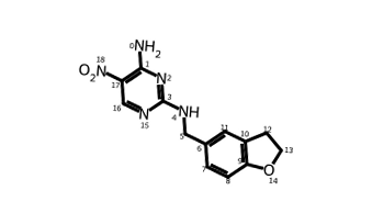 Nc1nc(NCc2ccc3c(c2)CCO3)ncc1[N+](=O)[O-]